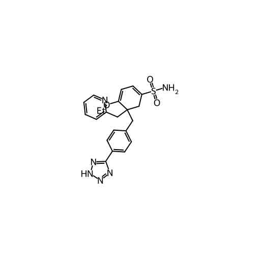 CCOC1=CC=C(S(N)(=O)=O)CC1(Cc1ccc(-c2nn[nH]n2)cc1)Cc1ccccn1